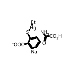 C[CH2][Hg][S]c1ccccc1C(=O)[O-].NC(=O)C(=O)O.[Na+]